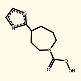 O=C(OO)N1CCCC(c2nccs2)CC1